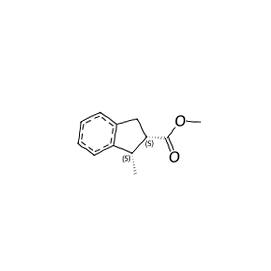 COC(=O)[C@H]1Cc2ccccc2[C@H]1C